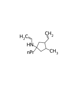 C=CNC1(CCC)CC(C)C(C=C)C1